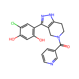 O=C(c1cccnc1)N1CCc2[nH]nc(-c3cc(Cl)c(O)cc3O)c2C1